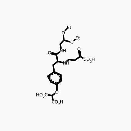 CCOC(CNC(=O)C(Cc1ccc(OC(C(=O)O)C(=O)O)cc1)NCCC(=O)C(=O)O)OCC